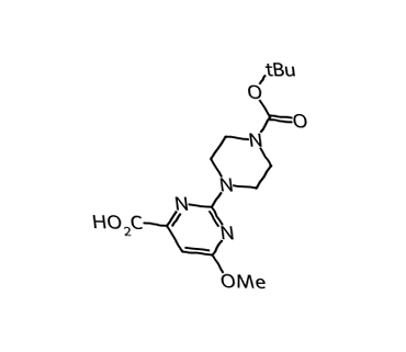 COc1cc(C(=O)O)nc(N2CCN(C(=O)OC(C)(C)C)CC2)n1